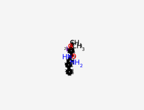 CC(C)Oc1ccc(C(=O)N[C@H](CN)Cc2ccc(-c3ccccc3)cc2)cc1I